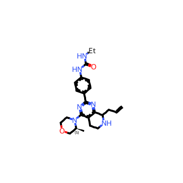 C=CCC1NCCc2c1nc(-c1ccc(NC(=O)NCC)cc1)nc2N1CCOC[C@@H]1C